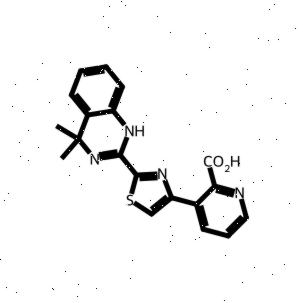 CC1(C)N=C(c2nc(-c3cccnc3C(=O)O)cs2)Nc2ccccc21